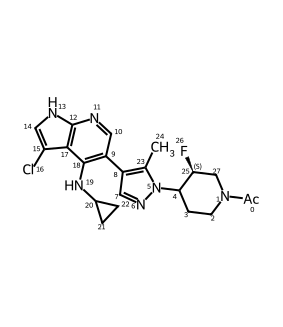 CC(=O)N1CCC(n2ncc(-c3cnc4[nH]cc(Cl)c4c3NC3CC3)c2C)[C@@H](F)C1